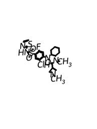 CN1CC(C(=O)N(C)[C@H]2CCCC[C@@H]2Nc2cc(F)c(S(=O)(=O)Nc3nccs3)cc2Cl)C1